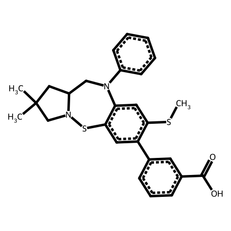 CSc1cc2c(cc1-c1cccc(C(=O)O)c1)SN1CC(C)(C)CC1CN2c1ccccc1